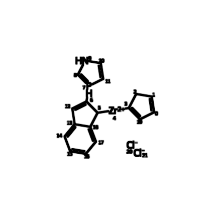 C1=CC[C]([Zr+2][CH]2C([PH]3=CNC=C3)=Cc3ccccc32)=C1.[Cl-].[Cl-]